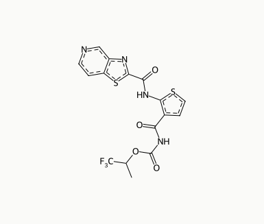 CC(OC(=O)NC(=O)c1ccsc1NC(=O)c1nc2cnccc2s1)C(F)(F)F